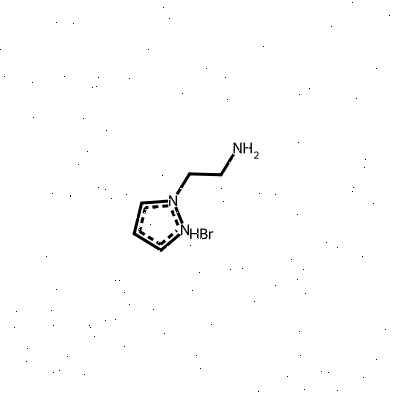 Br.NCCn1cccn1